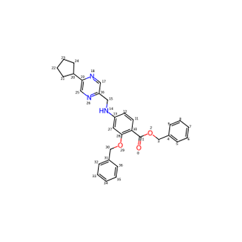 O=C(OCc1ccccc1)c1ccc(NCc2cnc(C3CCCC3)cn2)cc1OCc1ccccc1